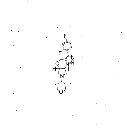 Fc1ccc(-c2nnn3c2CO[C@H]2CN(C4CCOCC4)C[C@@H]23)c(F)c1